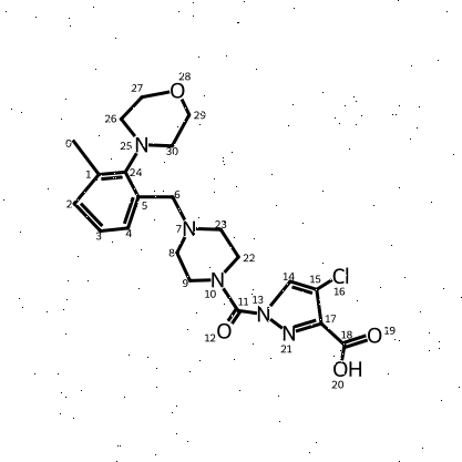 Cc1cccc(CN2CCN(C(=O)n3cc(Cl)c(C(=O)O)n3)CC2)c1N1CCOCC1